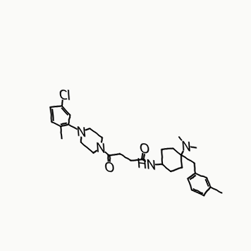 Cc1cccc(CC2(N(C)C)CCC(NC(=O)CCC(=O)N3CCN(c4cc(Cl)ccc4C)CC3)CC2)c1